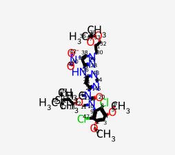 COc1cc(OC)c(Cl)c(N(COCC[Si](C)(C)C)C(=O)N(C)c2cc(Nc3nn(CC4COC(C)(C)O4)cc3[N+](=O)[O-])ncn2)c1Cl